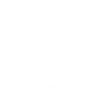 Cc1cc(C(C)(C)c2ccc(C(C)(C)c3cc(C)c(O)c(CO)c3)cc2)cc(CO)c1O